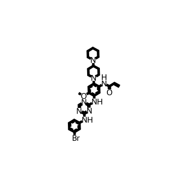 C=CC(=O)Nc1cc(Nc2ncnc(Nc3cccc(Br)c3)n2)c(OC)cc1N1CCC(N2CCCCC2)CC1